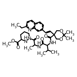 CCc1ccc2ccc(/C=C/C3(C(=O)NC(C(=O)NC(C)C(=O)N4CCCC(C(=O)OC)N4)C(C)C)COC(C)(C)OC3)cc2n1